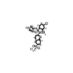 CC(c1ccc2cc(S(C)(=O)=O)ccc2n1)C(O)(Cc1nc[nH]n1)c1ccc(Cl)cc1Cl